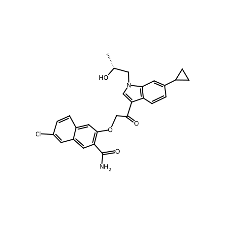 C[C@@H](O)Cn1cc(C(=O)COc2cc3ccc(Cl)cc3cc2C(N)=O)c2ccc(C3CC3)cc21